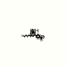 CCCCCCNCC(CC(=O)NC)c1ccc(C(C)=O)cc1